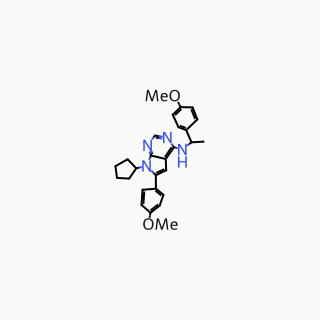 COc1ccc(-c2cc3c(NC(C)c4ccc(OC)cc4)ncnc3n2C2CCCC2)cc1